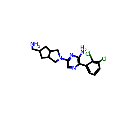 NCC1CC2CN(c3cnc(-c4cccc(Cl)c4Cl)c(N)n3)CC2C1